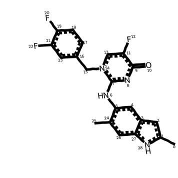 Cc1cc2cc(Nc3nc(=O)c(F)cn3Cc3ccc(F)c(F)c3)c(C)cc2[nH]1